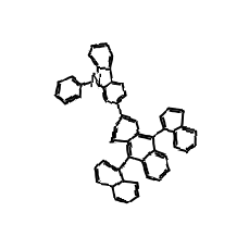 C1=CC2C=CC=C(c3c4ccccc4c(-c4cccc5ccccc45)c4cc(-c5ccc6c7ccccc7n(-c7ccccc7)c6c5)ccc34)C2C=C1